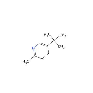 CC1=NC=C(C(C)(C)C)CC1